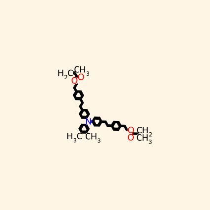 C=C(C)C(=O)OCCc1ccc(CCc2ccc(N(c3ccc(CCc4ccc(CCOC(=O)C(=C)C)cc4)cc3)c3ccc(C)c(C)c3)cc2)cc1